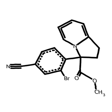 COC(=O)C1(c2ccc(C#N)cc2Br)CCC2=CC=C=CN21